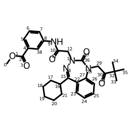 COC(=O)c1cccc(NC(=O)CN2N=C(C3CCCCC3)c3ccccc3N(CC(=O)C(C)(C)C)C2=O)c1